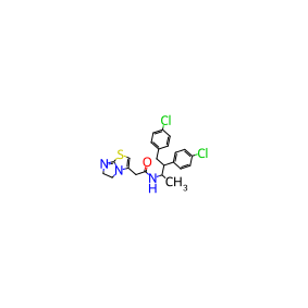 CC(NC(=O)CC1=CSC2=NCCN12)C(Cc1ccc(Cl)cc1)c1ccc(Cl)cc1